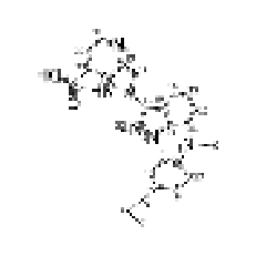 CN(c1ccc(C2CC2)cc1)c1cccc2c(-c3cc4nccc(C(=O)O)c4[nH]3)n(C)nc12